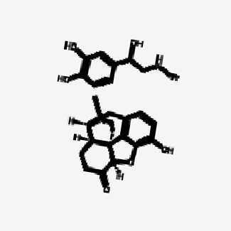 CC(C)NCC(O)c1ccc(O)c(O)c1.CN1CC[C@]23c4c5ccc(O)c4O[C@H]2C(=O)CC[C@H]3[C@H]1C5